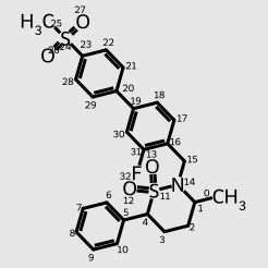 CC1CCC(c2ccccc2)S(=O)(=O)N1Cc1ccc(-c2ccc(S(C)(=O)=O)cc2)cc1F